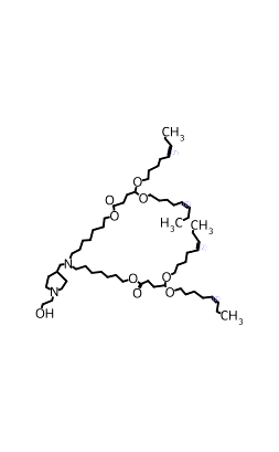 CC/C=C\CCCCOC(CCC(=O)OCCCCCCCN(CCCCCCCOC(=O)CCC(OCCCC/C=C\CC)OCCCC/C=C\CC)CC1CCN(CCO)CC1)OCCCC/C=C\CC